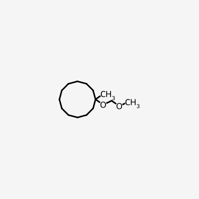 COCOC1(C)CCCCCCCCCCC1